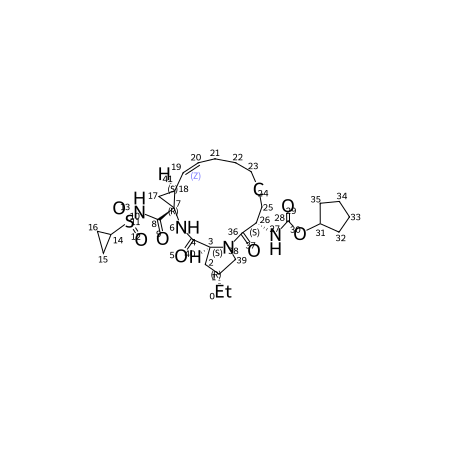 CC[C@@H]1C[C@H]2C(=O)N[C@]3(C(=O)NS(=O)(=O)C4CC4)C[C@H]3/C=C\CCCCC[C@H](NC(=O)OC3CCCC3)C(=O)N2C1